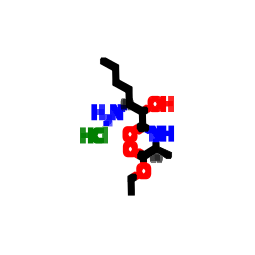 CCCC[C@@H](N)C(O)C(=O)N[C@@H](C)C(=O)OCC.Cl